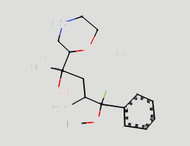 COC(F)(c1ccccc1)C(C)CC(C)(O)C1CNCCO1.Cl